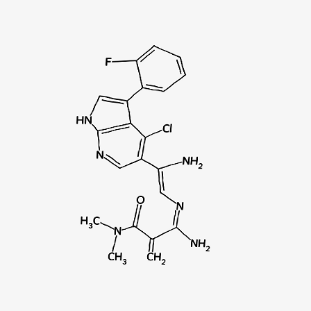 C=C(C(=O)N(C)C)/C(N)=N\C=C(/N)c1cnc2[nH]cc(-c3ccccc3F)c2c1Cl